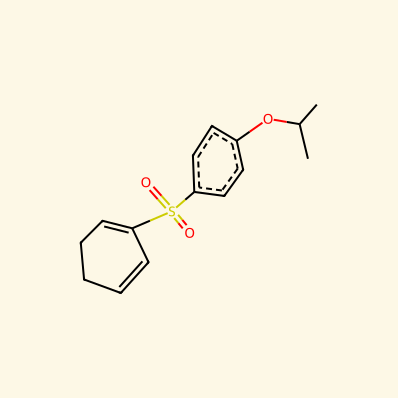 CC(C)Oc1ccc(S(=O)(=O)C2=CCCC=C2)cc1